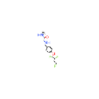 CCNC(=O)CNCc1ccc(OC(F)C(F)CCF)cc1